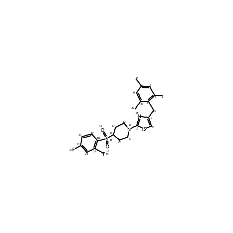 Cc1cc(C)c(Cc2csc(N3CCC(S(=O)(=O)c4ccc(F)cc4F)CC3)n2)c(C)c1